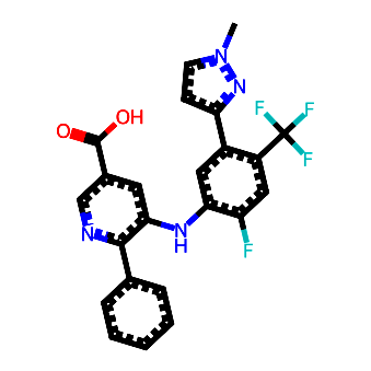 Cn1ccc(-c2cc(Nc3cc(C(=O)O)cnc3-c3ccccc3)c(F)cc2C(F)(F)F)n1